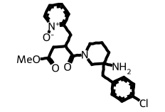 COC(=O)CC(Cc1cccc[n+]1[O-])C(=O)N1CCCC(N)(Cc2ccc(Cl)cc2)C1